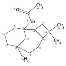 CC(=O)NC12CCCC(C)(CCC3C1CC3(C)C)C2